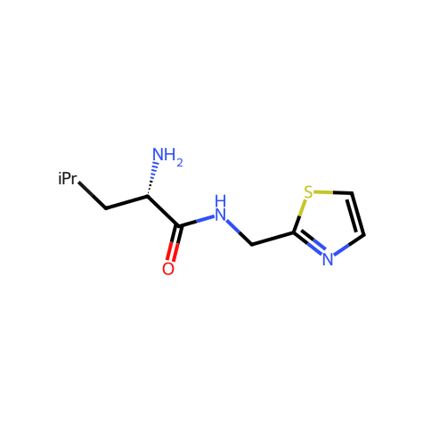 CC(C)C[C@H](N)C(=O)NCc1nccs1